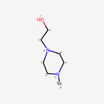 [2H]N1CCN(CCO)CC1